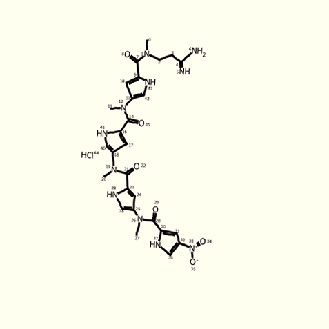 CN(CCC(=N)N)C(=O)c1cc(N(C)C(=O)c2cc(N(C)C(=O)c3cc(N(C)C(=O)c4cc([N+](=O)[O-])c[nH]4)c[nH]3)c[nH]2)c[nH]1.Cl